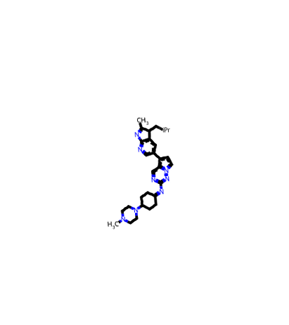 CC1=Nc2ncc(-c3ccn4nc(N=C5CCC(N6CCN(C)CC6)CC5)ncc34)cc2C1CC(C)C